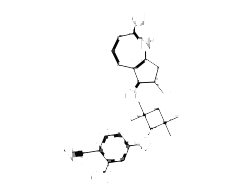 CC1(C)[C@H](CC2CC3=C(C=C=CC(Cl)=N3)C2=O)C(C)(C)[C@H]1Oc1ccc(C#N)c(Cl)c1